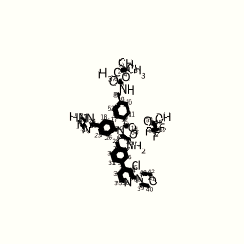 CC(C)(C)OC(=O)NC[C@H]1CC[C@H](C(=O)N(c2ccc(-c3nn[nH]n3)cc2)[C@@H](Cc2ccc(-c3ccnc(N4CCOCC4)c3Cl)cc2)C(N)=O)CC1.O=C(O)C(F)(F)F